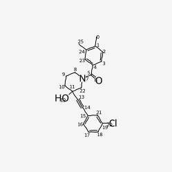 Cc1ccc(C(=O)N2CCCC(O)(C#Cc3cccc(Cl)c3)C2)cc1C